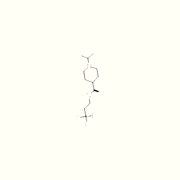 CC(C)N1CCC(C(=O)NCCC(F)(F)F)CC1